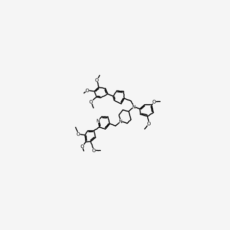 COc1cc(OC)cc(N(Cc2ccc(-c3cc(OC)c(OC)c(OC)c3)cc2)C2CCN(Cc3ccnc(-c4cc(OC)c(OC)c(OC)c4)c3)CC2)c1